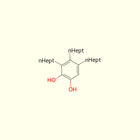 CCCCCCCc1cc(O)c(O)c(CCCCCCC)c1CCCCCCC